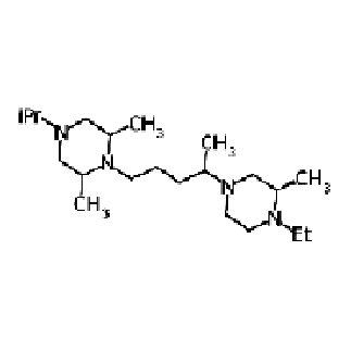 CCN1CCN(C(C)CCCN2C(C)CN(C(C)C)CC2C)C[C@H]1C